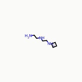 C1CCC1.NCCNCCN